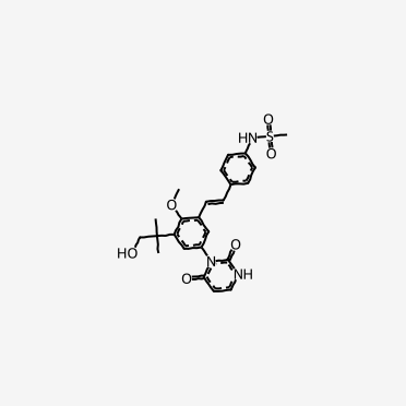 COc1c(/C=C/c2ccc(NS(C)(=O)=O)cc2)cc(-n2c(=O)cc[nH]c2=O)cc1C(C)(C)CO